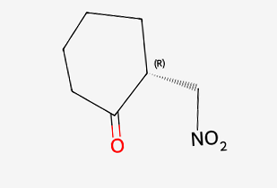 O=C1CCCC[C@@H]1C[N+](=O)[O-]